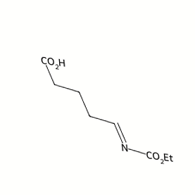 CCOC(=O)N=CCCCC(=O)O